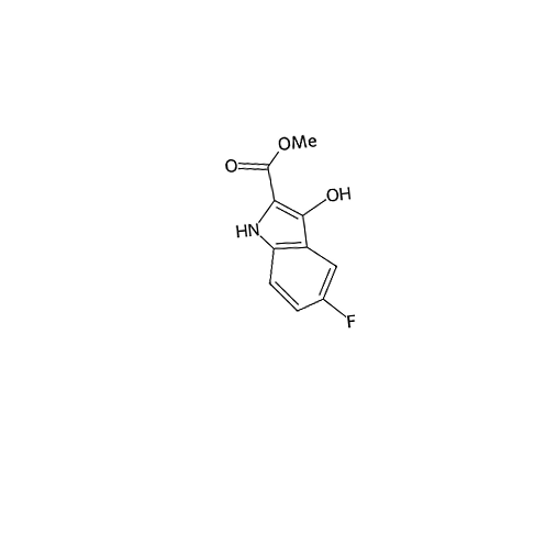 COC(=O)c1[nH]c2ccc(F)cc2c1O